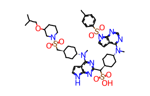 Cc1ccc(S(=O)(=O)n2ccc3c(N(C)[C@H]4CC[C@H](C(c5nc(N(C)[C@H]6CC[C@H](CS(=O)(=O)N7CCCC(OCC(C)C)C7)CC6)c6cc[nH]c6n5)S(=O)(=O)O)CC4)ncnc32)cc1